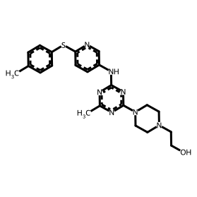 Cc1ccc(Sc2ccc(Nc3nc(C)nc(N4CCN(CCO)CC4)n3)cn2)cc1